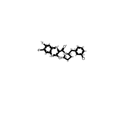 O=C(c1nc2cc(F)c(F)cc2nc1O)N1CCCC1Cc1cccc(Cl)c1